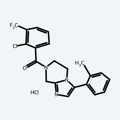 Cc1ccccc1-c1cnc2n1CCN(C(=O)c1cccc(C(F)(F)F)c1Cl)C2.Cl